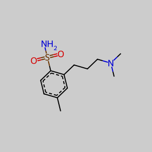 Cc1ccc(S(N)(=O)=O)c(CCCN(C)C)c1